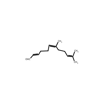 CC(C)=CCCC(C)=CCCC=CC=O